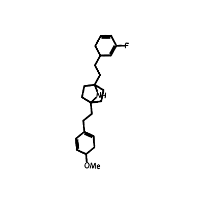 COC1C=CC(CCC23CCC(CCC4C=C(F)C=CC4)(CC2)N3)=CC1